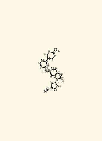 COC1CCN(c2nccc(Nc3cc4c(cn3)nc(C)n4C3CC[C@H](C#N)C3)n2)CC1